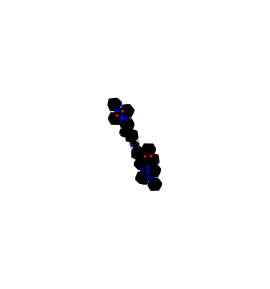 CC1(C)c2cc(/C=C/c3ccc4c(c3)C(c3ccccc3)(c3ccccc3)c3cc(N5c6ccccc6N(c6ccccc6)c6ccccc65)ccc3-4)ccc2-c2ccc(N3c4ccccc4N(c4ccccc4)c4ccccc43)cc21